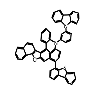 c1cc(N(c2ccc(-c3cccc4c3sc3ccccc34)cc2)c2ccccc2-c2cccc3oc4c5ccccc5ccc4c23)cc(-n2c3ccccc3c3ccccc32)c1